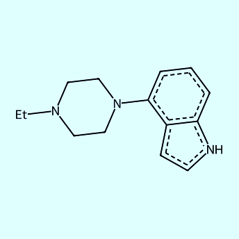 CCN1CCN(c2cccc3[nH]ccc23)CC1